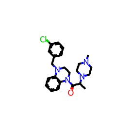 CC(C(=O)N1CCN(Cc2cccc(Cl)c2)c2ccccc21)N1CCN(C)CC1